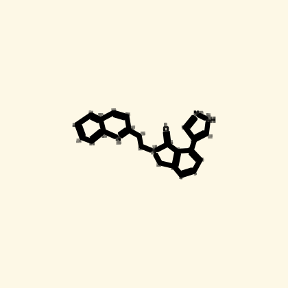 O=C1c2c(cccc2-c2cn[nH]c2)CN1CCc1ccc2ccccc2n1